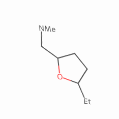 CCC1CCC(CNC)O1